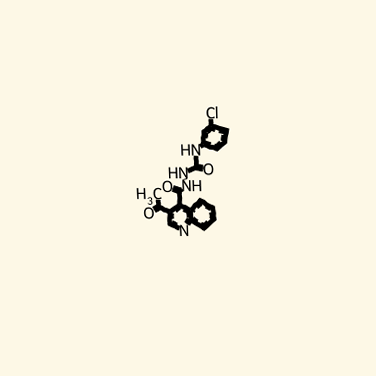 CC(=O)c1cnc2ccccc2c1C(=O)NNC(=O)Nc1cccc(Cl)c1